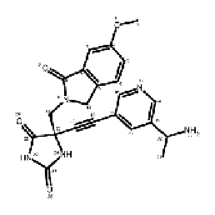 COc1ccc2c(c1)C(=O)N(C[C@@]1(C#Cc3cncc(C(C)N)c3)NC(=O)NC1=O)C2